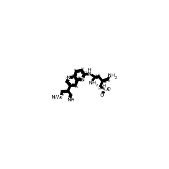 CN/C=C(\C=N)c1cnc2ccc(N/C(N)=C/C(=C\N)C[SH](=O)=O)nc2c1